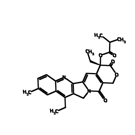 CCc1c2c(nc3ccc(C)cc13)-c1cc3c(c(=O)n1C2)COC(=O)[C@@]3(CC)OC(=O)C(C)C